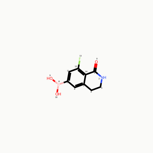 O=C1NCCc2cc(B(O)O)cc(F)c21